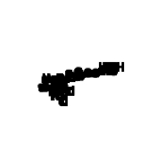 C/N=C\[C@]1(c2ccc(Cl)cc2F)[C@H](CC(C)(C)C)N[C@@H](C(=O)Nc2ccc(C(=O)OCOC(=O)OCCOCCOCCOCCOP(=O)(O)O)cc2OC)[C@@H]1c1cccc(Cl)c1F